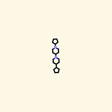 C1CCC(C2CCN(C3CCN(C4CCCC4)CC3)CC2)C1